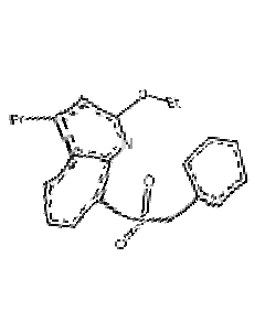 CCOc1cc(C(C)C)c2cccc(S(=O)(=O)Cc3ccccc3)c2n1